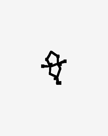 O[C@H]1C[C@@H]2OCO[C@@H]2C1